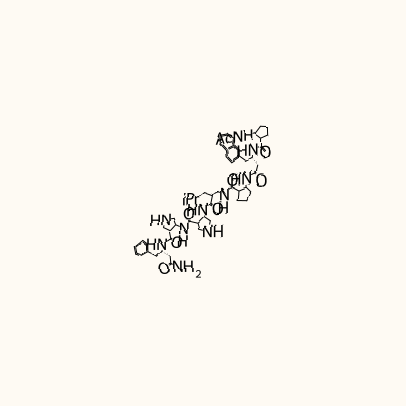 CC(=O)NC1CCCC1C(=O)N[C@H](CC(=O)NC1CCCC1C(=O)NC[C@H](CC(C)C)C(=O)NC1CNCC1C(=O)NC1CNCC1C(=O)N[C@H](CC(N)=O)Cc1ccccc1)Cc1ccc2ccccc2c1